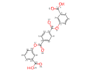 O=C(O)c1cccc(OC(=O)c2ccc(C(=O)Oc3cccc(C(=O)O)c3)cc2)c1